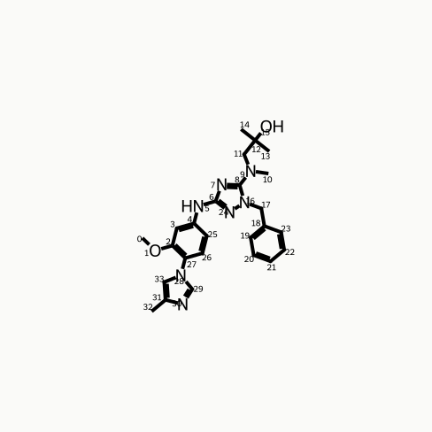 COc1cc(Nc2nc(N(C)CC(C)(C)O)n(Cc3ccccc3)n2)ccc1-n1cnc(C)c1